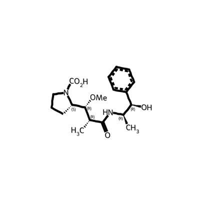 CO[C@H]([C@@H](C)C(=O)N[C@H](C)[C@H](O)c1ccccc1)[C@@H]1CCCN1C(=O)O